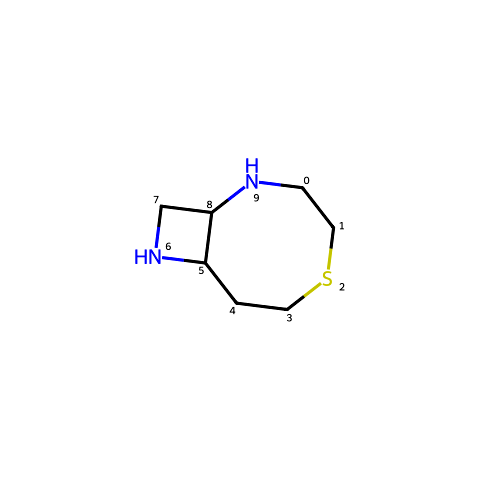 C1CSCCC2NCC2N1